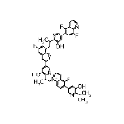 CC(C)c1ncc(-c2ccc3c(ccc[n+]3CC(C)c3ncc(-c4cnc5c(CC(C)c6ncc(-c7cc(F)c8ncccc8c7F)cc6O)cc(F)cc5c4)cc3O)c2F)cc1O